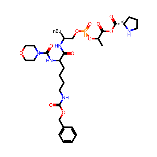 CCCCC(CO[PH](=O)OC(C)C(=O)OC(=O)[C@@H]1CCCN1)NC(=O)C(CCCCNC(=O)OCc1ccccc1)NC(=O)N1CCOCC1